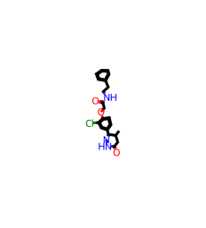 CC1CC(=O)NN=C1c1ccc(OCC(=O)NCCc2ccccc2)c(Cl)c1